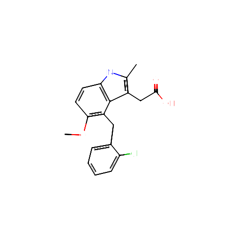 COc1ccc2[nH]c(C)c(CC(=O)O)c2c1Cc1ccccc1Cl